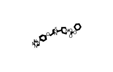 O=C(OC1CCCCC1)ON1CCC(c2nc(COc3ccc(-n4cnnn4)cc3)cs2)CC1